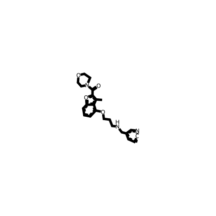 Cc1c(C(=O)N2CCOCC2)oc2cccc(OCCCNCc3cccnc3)c12